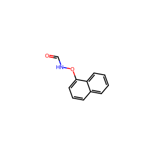 O=CNOc1cccc2ccccc12